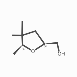 C[C@@H]1O[C@H](CO)CC1(C)C